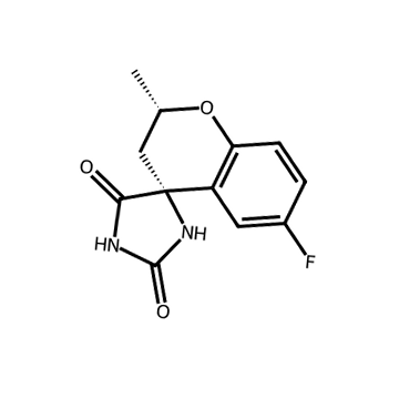 C[C@H]1C[C@@]2(NC(=O)NC2=O)c2cc(F)ccc2O1